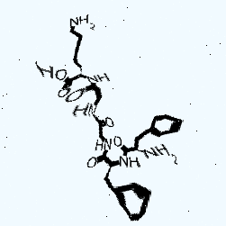 NCCCC[C@H](NC(=O)CNC(=O)CNC(=O)[C@H](Cc1ccccc1)NC(=O)[C@@H](N)Cc1ccccc1)C(=O)O